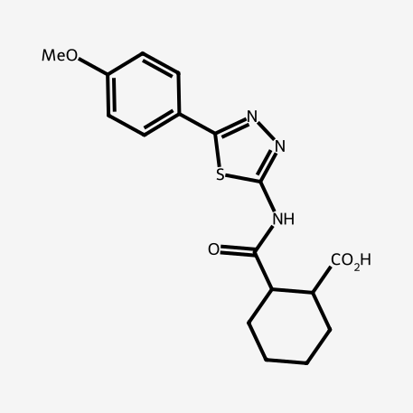 COc1ccc(-c2nnc(NC(=O)C3CCCCC3C(=O)O)s2)cc1